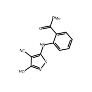 COC(=O)c1ccccc1Nc1snc(O)c1C#N